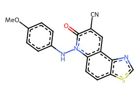 COc1ccc(Nn2c(=O)c(C#N)cc3c4ncsc4ccc32)cc1